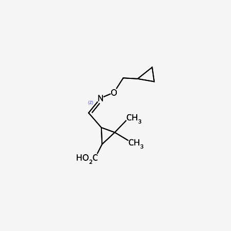 CC1(C)C(/C=N\OCC2CC2)C1C(=O)O